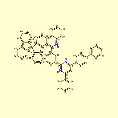 c1ccc(-c2ccc(-c3cc(-c4ccccc4)nc(-c4cccc(-c5nc6ccccc6c6ccc7c(c56)-c5ccccc5C7(c5ccccc5)c5ccccc5)c4)n3)cc2)cc1